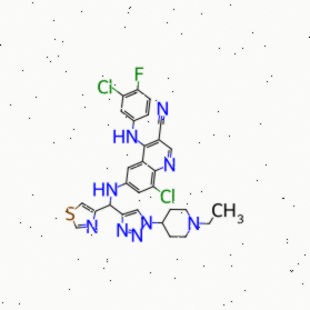 CCN1CCC(n2cc(C(Nc3cc(Cl)c4ncc(C#N)c(Nc5ccc(F)c(Cl)c5)c4c3)c3cscn3)nn2)CC1